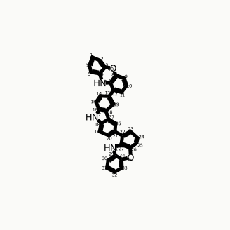 c1ccc2c(c1)Nc1c(cccc1-c1ccc3[nH]c4ccc(-c5cccc6c5Nc5ccccc5O6)cc4c3c1)O2